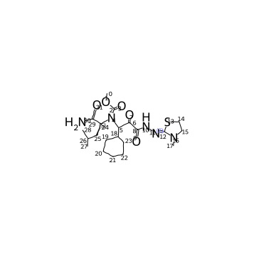 COC(=O)N(C(C(=O)C(=O)N/N=C1\SCCN1C)C1CCCCC1)[C@@H](CC(C)C)C(N)=O